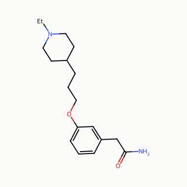 CCN1CCC(CCCOc2cccc(CC(N)=O)c2)CC1